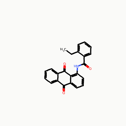 CCc1ccccc1C(=O)Nc1cccc2c1C(=O)c1ccccc1C2=O